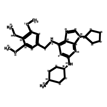 COc1cc(CNc2nc(N[C@H]3CC[C@H](N)CC3)nc3c2ncn3C2CCCC2)cc(OC)c1OC